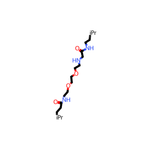 CC(C)CCNC(=O)CNCCOCCOCCNC(=O)CCC(C)C